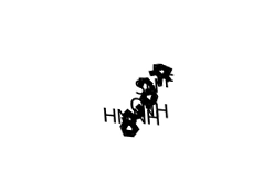 Cc1cccc(F)c1CN1CCSc2cc(NC(=O)Nc3c[nH]c4ccccc34)ccc21